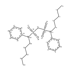 CCCCCN(c1ccccc1)S(=O)(=O)CS(=O)(=O)N(CCCCC)c1ccccc1